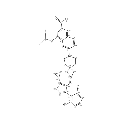 O=C(O)c1cc(OC(F)F)c2cc(N3CCC4(CC3)CC(=Cc3c(-c5c(Cl)cncc5Cl)noc3C3CC3)C4)ccc2n1